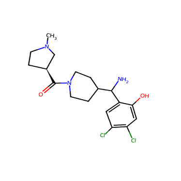 CN1CC[C@H](C(=O)N2CCC(C(N)c3cc(Cl)c(Cl)cc3O)CC2)C1